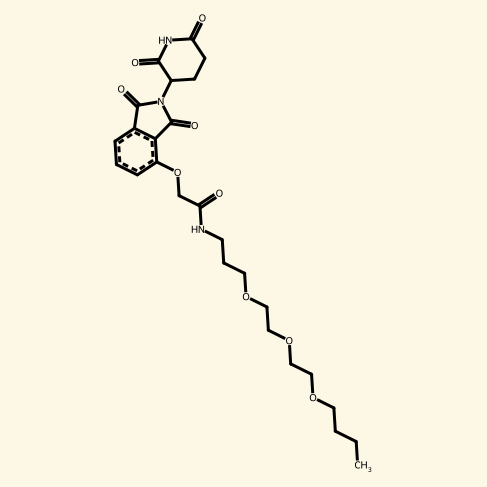 CCCCOCCOCCOCCCNC(=O)COc1cccc2c1C(=O)N(C1CCC(=O)NC1=O)C2=O